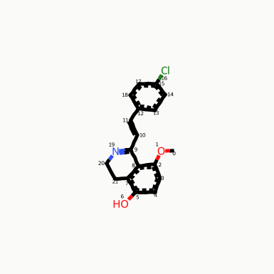 COc1ccc(O)c2c1C(C=Cc1ccc(Cl)cc1)=NCC2